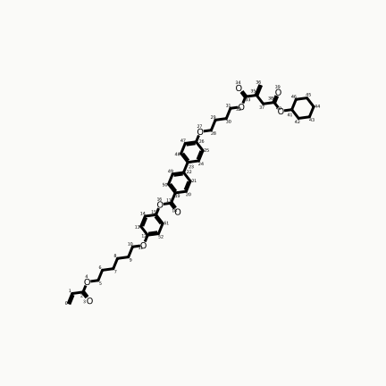 C=CC(=O)OCCCCCCOc1ccc(OC(=O)c2ccc(-c3ccc(OCCCCOC(=O)C(=C)CC(=O)OC4CCCCC4)cc3)cc2)cc1